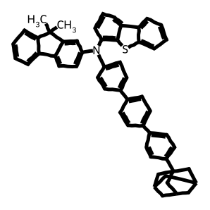 CC1(C)c2ccccc2-c2ccc(N(c3ccc(-c4ccc(-c5ccc(C67CC8CC(CC(C8)C6)C7)cc5)cc4)cc3)c3cccc4c3sc3ccccc34)cc21